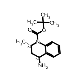 C[C@H]1C[C@H](N)c2ccccc2N1C(=O)OC(C)(C)C